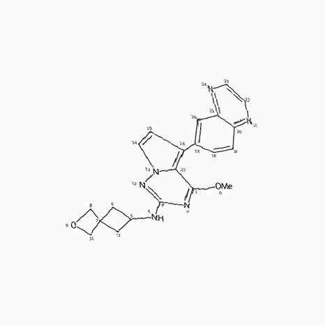 COc1nc(NC2CC3(COC3)C2)nn2ccc(-c3ccc4nccnc4c3)c12